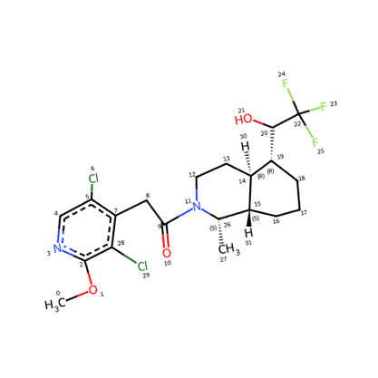 COc1ncc(Cl)c(CC(=O)N2CC[C@@H]3[C@H](CCC[C@H]3C(O)C(F)(F)F)[C@@H]2C)c1Cl